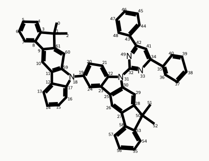 CC1(C)c2ccccc2-c2cc3c4ccccc4n(-c4ccc5c(c4)c4cc6c(cc4n5-c4nc(-c5ccccc5)cc(-c5ccccc5)n4)C(C)(C)c4ccccc4-6)c3cc21